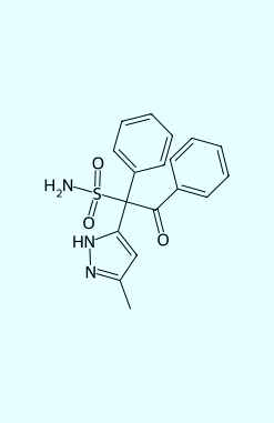 Cc1cc(C(C(=O)c2ccccc2)(c2ccccc2)S(N)(=O)=O)[nH]n1